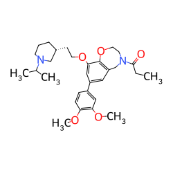 CCC(=O)N1CCOc2c(cc(-c3ccc(OC)c(OC)c3)cc2OCC[C@H]2CCCN(C(C)C)C2)C1